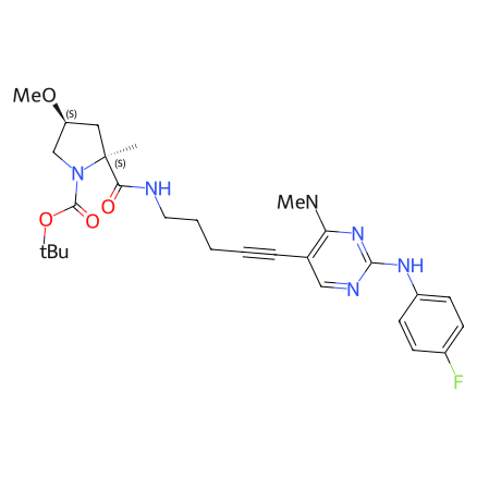 CNc1nc(Nc2ccc(F)cc2)ncc1C#CCCCNC(=O)[C@]1(C)C[C@H](OC)CN1C(=O)OC(C)(C)C